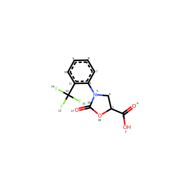 O=C(O)C1CN(c2ccccc2C(F)(F)F)C(=O)O1